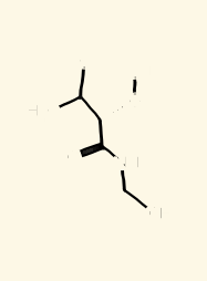 CCNC(=O)[C@@H](OC)C(C)C